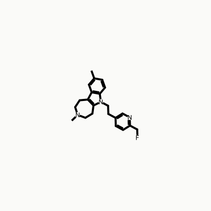 Cc1ccc2c(c1)c1c(n2CCc2ccc(CF)nc2)CCN(C)CC1